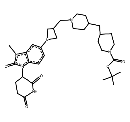 Cn1c(=O)n(C2CCC(=O)NC2=O)c2ccc(N3CC(CN4CCC(CC5CCN(C(=O)OC(C)(C)C)CC5)CC4)C3)cc21